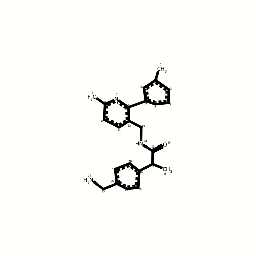 Cc1cccc(-c2nc(C(F)(F)F)ccc2CNC(=O)C(C)c2ccc(CN)cc2)c1